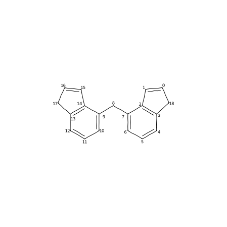 C1=Cc2c(cccc2Cc2cccc3c2C=CC3)C1